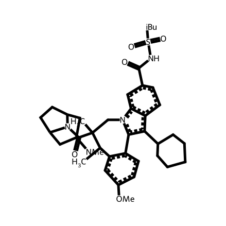 CCC(C)S(=O)(=O)NC(=O)c1ccc2c(C3CCCCC3)c3n(c2c1)CC(C)(C(=O)N1C2CCC1CC(NC)C2)C(C)c1cc(OC)ccc1-3